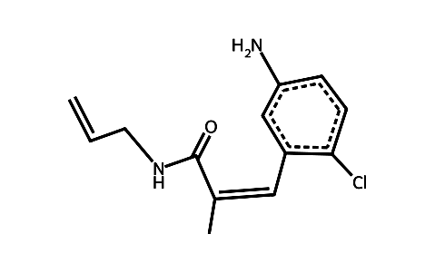 C=CCNC(=O)C(C)=Cc1cc(N)ccc1Cl